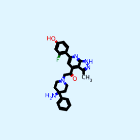 Cc1n[nH]c2nc(-c3ccc(O)cc3F)cc(C(=O)CN3CCC(N)(c4ccccc4)CC3)c12